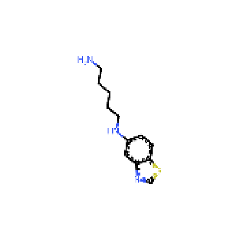 NCCCCCNc1ccc2scnc2c1